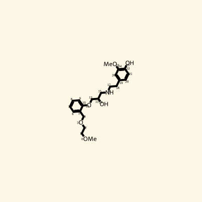 COCCOCc1ccccc1OCC(O)CNCCc1ccc(O)c(OC)c1